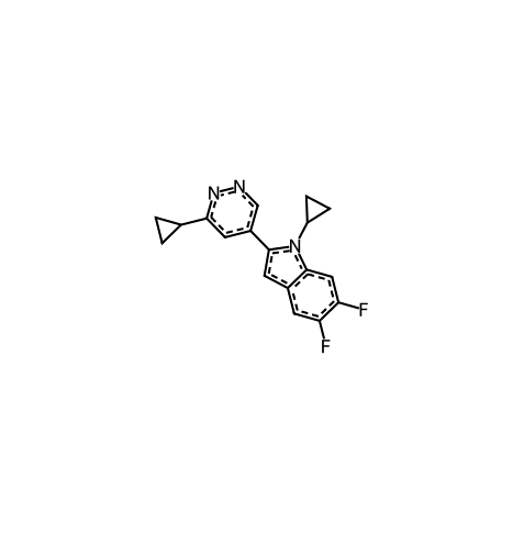 Fc1cc2cc(-c3cnnc(C4CC4)c3)n(C3CC3)c2cc1F